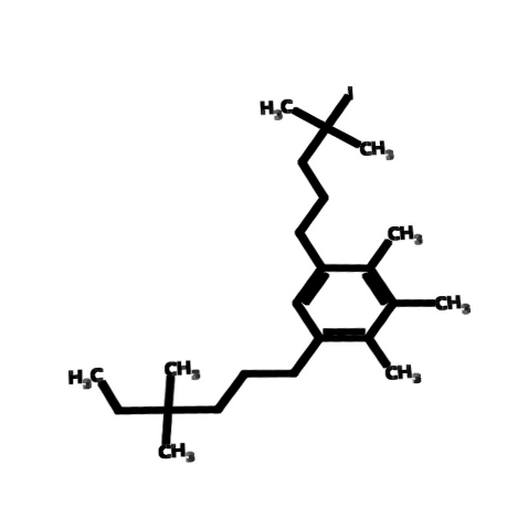 CCC(C)(C)CCCc1cc(CCCC(C)(C)I)c(C)c(C)c1C